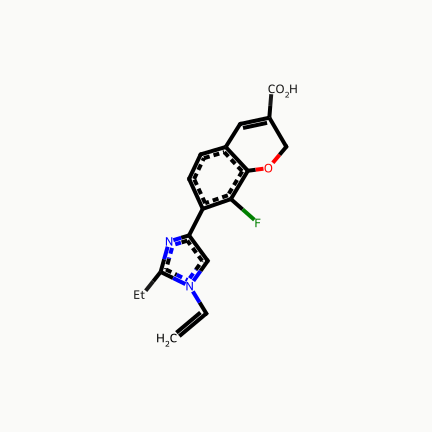 C=Cn1cc(-c2ccc3c(c2F)OCC(C(=O)O)=C3)nc1CC